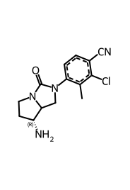 Cc1c(N2CC3[C@H](N)CCN3C2=O)ccc(C#N)c1Cl